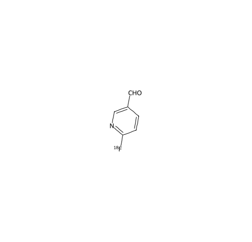 O=Cc1ccc([18F])nc1